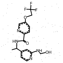 CC(NC(=O)c1ccc(OCC(F)(F)F)cn1)c1ccnc(NCO)c1